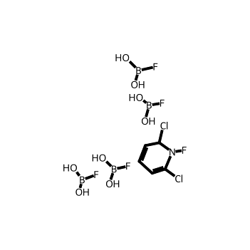 FN1C(Cl)=CC=CC1Cl.OB(O)F.OB(O)F.OB(O)F.OB(O)F